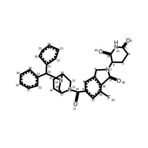 O=C1CCC(N2Cc3cc(C(=O)N4CC5CCC4CN5C(c4ccccc4)c4ccccc4)cc(F)c3C2=O)C(=O)N1